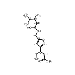 CCCC(=O)NC(CO)c1noc(CNC(=O)NC(C)C(C)O)n1